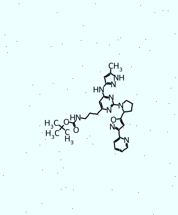 Cc1cc(Nc2cc(CCCNC(=O)OC(C)(C)C)nc(N3CCCC3c3cc(-c4ccccn4)no3)n2)n[nH]1